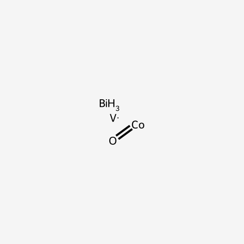 [BiH3].[O]=[Co].[V]